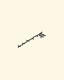 CCCC(C(C)=CCC/C(C)=C/CC/C(C)=C/CC/C=C(\C)CC/C=C(\C)CCC=C(C)C)[Si](OC)(OC)OC